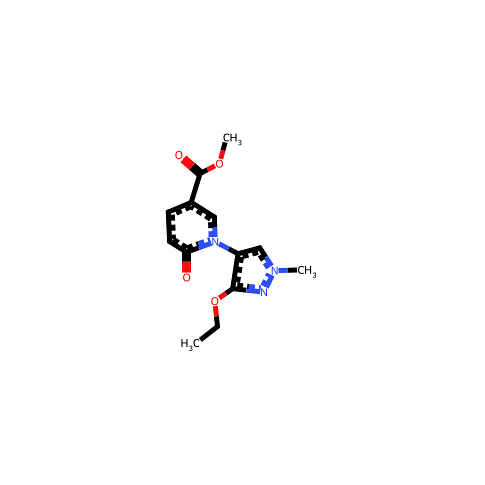 CCOc1nn(C)cc1-n1cc(C(=O)OC)ccc1=O